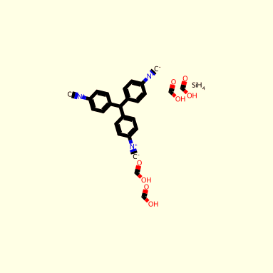 O=CO.O=CO.O=CO.O=CO.[C-]#[N+]c1ccc(C(c2ccc([N+]#[C-])cc2)c2ccc([N+]#[C-])cc2)cc1.[SiH4]